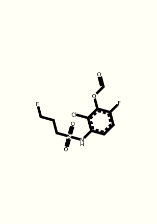 O=COc1c(F)ccc(NS(=O)(=O)CCCF)c1Cl